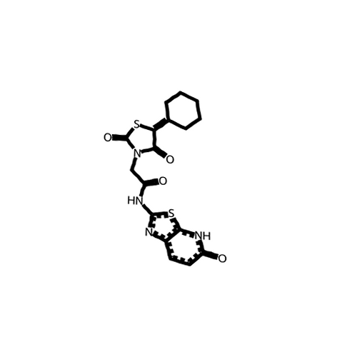 O=C(CN1C(=O)SC(=C2CCCCC2)C1=O)Nc1nc2ccc(=O)[nH]c2s1